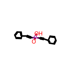 O=P(O)(C#Cc1ccccc1)C#Cc1ccccc1